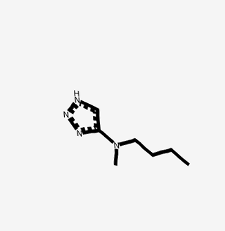 CCCCN(C)c1c[nH]nn1